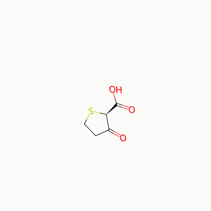 O=C(O)[C@@H]1SCCC1=O